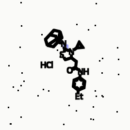 CCc1ccc(NC(=O)CC2CS/C(=N\C34CC5CC(CC(C5)C3)C4)N2C2CC2)cc1.Cl